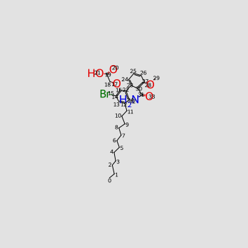 CCCCCCCCCCCCc1cc(Br)c(OCC(=O)O)c(-c2cccc(OC)c2C(N)=O)c1